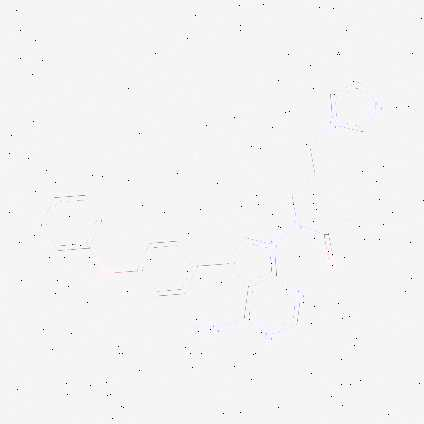 CCC(=O)N(CCCn1ccnc1)n1cc(-c2ccc(Oc3ccccc3)cc2)c2c(N)ncnc21